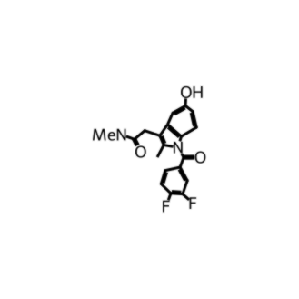 CNC(=O)Cc1c(C)n(C(=O)c2ccc(F)c(F)c2)c2ccc(O)cc12